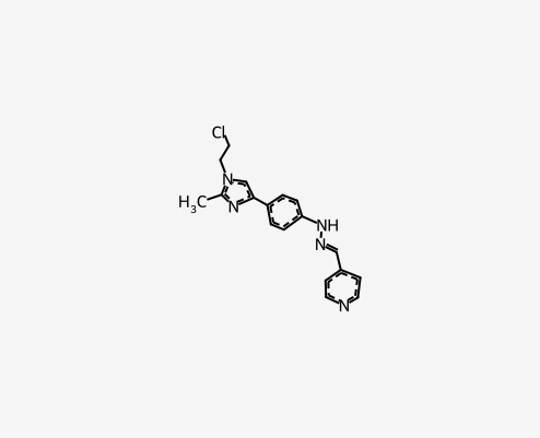 Cc1nc(-c2ccc(NN=Cc3ccncc3)cc2)cn1CCCl